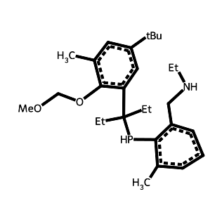 CCNCc1cccc(C)c1PC(CC)(CC)c1cc(C(C)(C)C)cc(C)c1OCOC